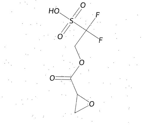 O=C(OCC(F)(F)S(=O)(=O)O)C1CO1